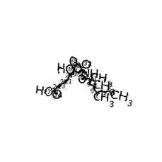 CCCCC(C)/C=C(C)/C=C(\C)C(=O)NC1=CC(O)(/C=C/C=C/C=C/C(=O)O)C2OC2C1=O